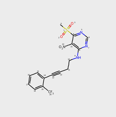 CS(=O)(=O)c1ncnc(NCCC#Cc2ccccc2C(F)(F)F)c1[N+](=O)[O-]